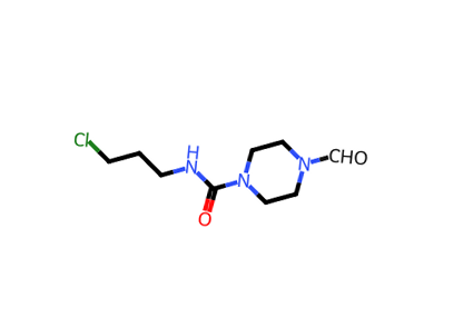 O=CN1CCN(C(=O)NCCCCl)CC1